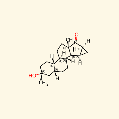 C[C@@]1(O)CC[C@H]2[C@H](CC[C@@H]3[C@@H]2CC[C@]2(C)C(=O)[C@H]4C[C@H]4[C@@H]32)C1